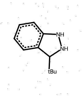 CC(C)(C)C1NNc2ccccc21